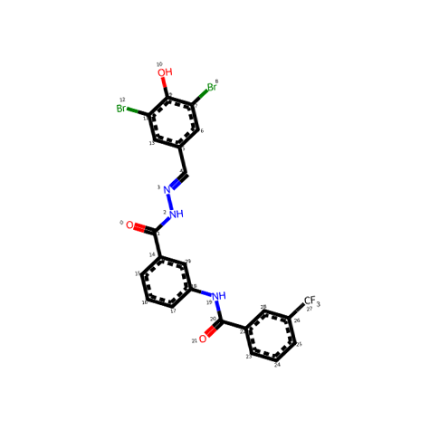 O=C(N/N=C/c1cc(Br)c(O)c(Br)c1)c1cccc(NC(=O)c2cccc(C(F)(F)F)c2)c1